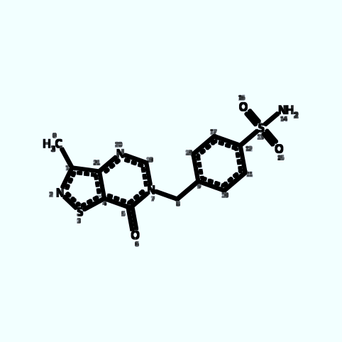 Cc1nsc2c(=O)n(Cc3ccc(S(N)(=O)=O)cc3)cnc12